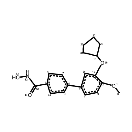 COc1ccc(-c2ccc(C(=O)NO)cc2)cc1OC1CCCC1